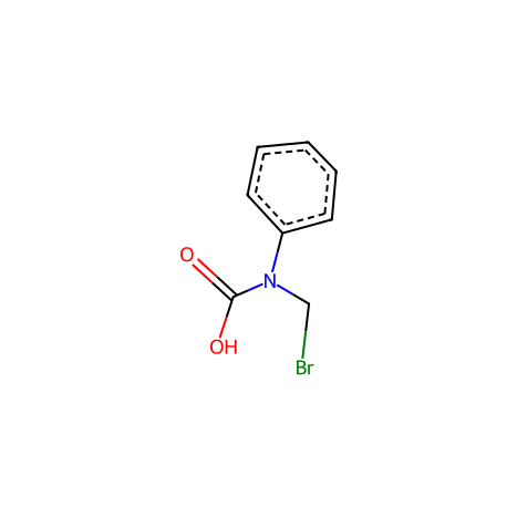 O=C(O)N(CBr)c1ccccc1